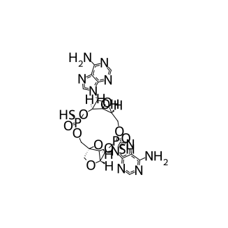 Nc1ncnc2c1ncn2[C@@H]1O[C@@H]2CO[P@@](=O)(S)O[C@H]3[C@H]4OC[C@]3(CO[P@@](=O)(S)O[C@@H]1[C@@H]2O)O[C@H]4n1cnc2c(N)ncnc21